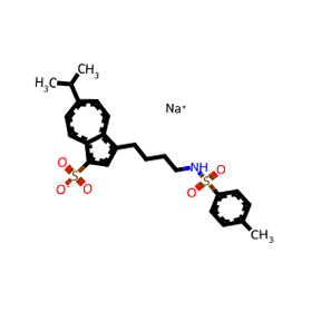 Cc1ccc(S(=O)(=O)NCCCCc2cc(S(=O)(=O)[O-])c3ccc(C(C)C)ccc2-3)cc1.[Na+]